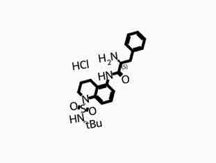 CC(C)(C)NS(=O)(=O)N1CCCc2c(NC(=O)[C@@H](N)Cc3ccccc3)cccc21.Cl